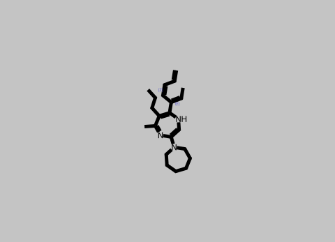 C=C/C=C\C(=C/C)C1=C(CCC)C(C)=NC(N2CCCCCC2)=CN1